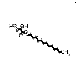 CCCCCCCCCCCCCCOC(=O)C(O)CO